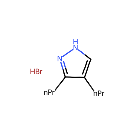 Br.CCCc1c[nH]nc1CCC